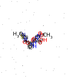 CCOC(=O)N1CCN(C(=O)C(CCC(=O)O)NC(=O)c2cc(OCC(=O)N3CCc4nc(C)sc4C3)c3ccccc3n2)CC1